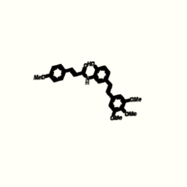 COc1ccc(/C=C/C(=O)Nc2cc(C=Cc3cc(OC)c(OC)c(OC)c3)ccc2O)cc1